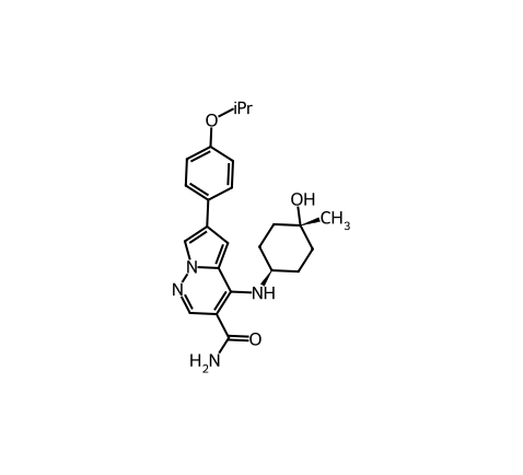 CC(C)Oc1ccc(-c2cc3c(N[C@H]4CC[C@](C)(O)CC4)c(C(N)=O)cnn3c2)cc1